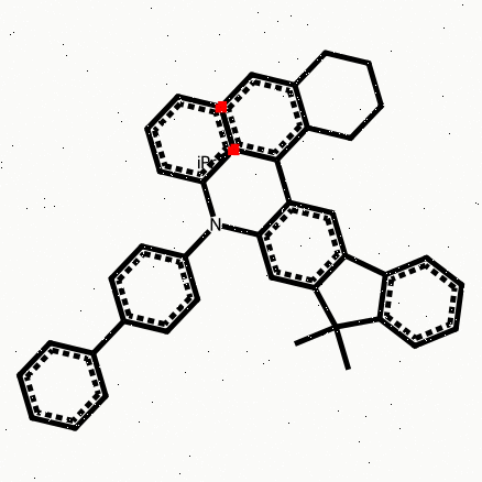 CC(C)c1ccc2c(c1-c1cc3c(cc1N(c1ccccc1)c1ccc(-c4ccccc4)cc1)C(C)(C)c1ccccc1-3)CCCC2